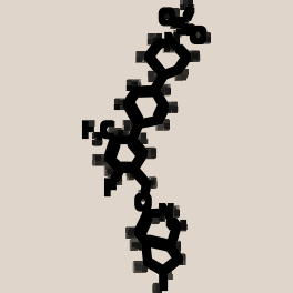 CC1Cc2cnc(OCc3cc(-c4ccc(C5CCN(S(C)(=O)=O)CC5)cc4)c(C(F)(F)F)cc3F)cc2C1